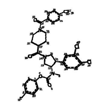 CN(C(=O)Oc1ccc(F)cc1)[C@@H]1CN(C(=O)C2CCN(C(=O)c3ccc(C(F)(F)F)cn3)CC2)C[C@H]1c1ccc(Cl)c(Cl)c1